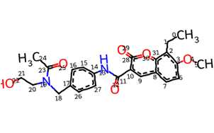 CCc1c(OC)ccc2cc(C(=O)Nc3ccc(CN(CCO)C(C)=O)cc3)c(=O)oc12